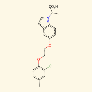 Cc1ccc(OCCOc2ccc3c(ccn3C(C)C(=O)O)c2)c(Cl)c1